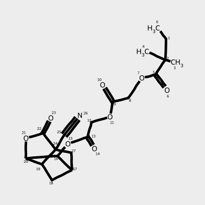 CCC(C)(C)C(=O)OCC(=O)OCC(=O)OC1C2CC3C1OC(=O)C3(C#N)C2